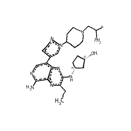 CCc1nc2c(N)ncc(-c3cnn(C4CCN(CC(F)P)CC4)c3)c2nc1N[C@@H]1CC[C@H](O)C1